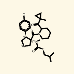 CC(C)COC(=O)N(C)[C@]1(C(=O)N2CCCCC2C(=O)C2(C)CC2)CNC[C@H]1c1ccc(Cl)cc1